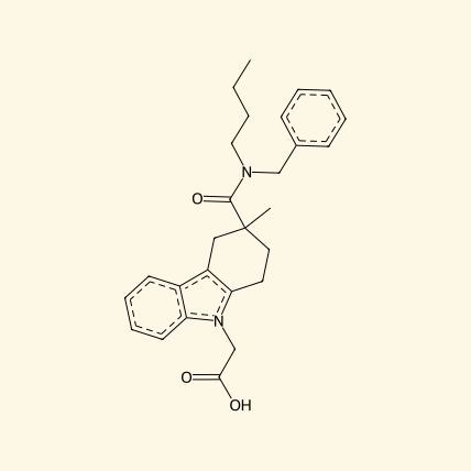 CCCCN(Cc1ccccc1)C(=O)C1(C)CCc2c(c3ccccc3n2CC(=O)O)C1